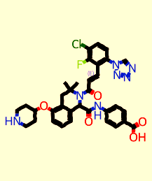 CC1(C)Cc2c(OC3CCNCC3)cccc2C(C(=O)Nc2ccc(C(=O)O)cc2)N1C(=O)/C=C/c1c(-n2cnnn2)ccc(Cl)c1F